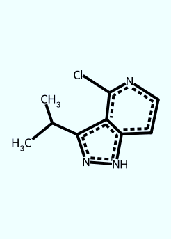 CC(C)c1n[nH]c2ccnc(Cl)c12